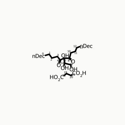 CCCCCCCCCCCCCC(=O)C(O)(C(=O)CCCCCCCCCCCCC)C(O)CO.O=C(O)CCC(=O)O